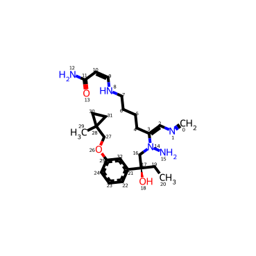 C=N/C=C(/CCCCN/C=C\C(N)=O)N(N)C[C@](O)(CC)c1cccc(OCC2(C)CC2)c1